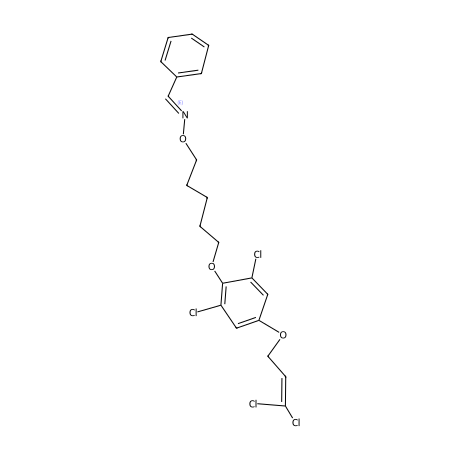 ClC(Cl)=CCOc1cc(Cl)c(OCCCCCO/N=C/c2ccccc2)c(Cl)c1